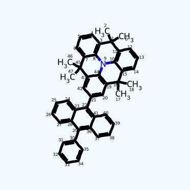 CC1(C)c2cccc3c2N2c4c1cccc4C(C)(C)c1cc(-c4c5ccccc5c(-c5ccccc5)c5ccccc45)cc(c12)C3(C)C